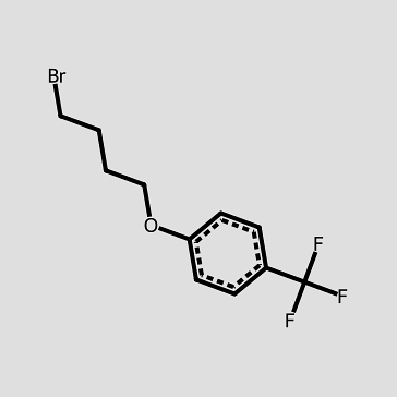 FC(F)(F)c1ccc(OCCCCBr)cc1